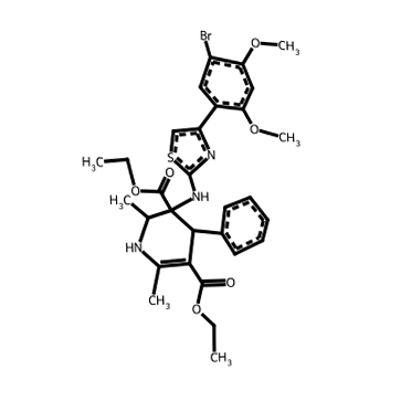 CCOC(=O)C1=C(C)NC(C)C(Nc2nc(-c3cc(Br)c(OC)cc3OC)cs2)(C(=O)OCC)C1c1ccccc1